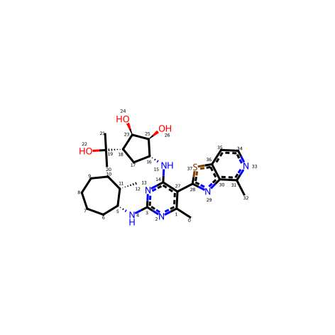 Cc1nc(N[C@@H]2CCCCC[C@@H]2C)nc(N[C@@H]2C[C@H](C(C)(C)O)[C@@H](O)[C@H]2O)c1-c1nc2c(C)nccc2s1